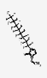 C=Cn1ccn(C(F)(F)C(F)(F)C(F)(F)C(F)(F)C(F)(F)C(F)(F)C(F)(F)C(F)(F)F)c1=S